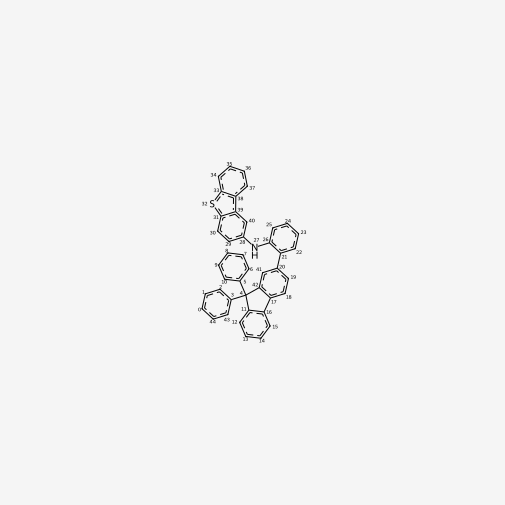 c1ccc(C2(c3ccccc3)c3ccccc3-c3ccc(-c4ccccc4Nc4ccc5sc6ccccc6c5c4)cc32)cc1